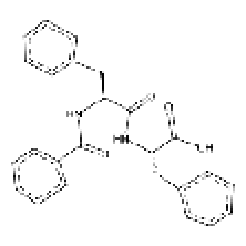 O=C(N[C@@H](Cc1ccccc1)C(=O)N[C@@H](Cc1ccccc1)C(=O)O)c1ccccc1